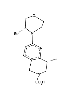 CC[C@@H]1COCCN1c1ccc2c(n1)[C@H](C)CN(C(=O)O)C2